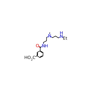 CCNCCCN(C)CCCNC(=O)c1cccc(C(=O)O)c1